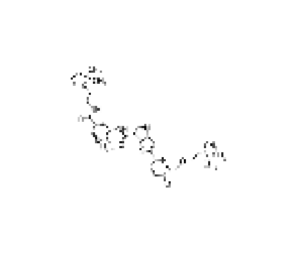 Cc1ncc(C(=O)NCCN2CCCC2(C)C)cc1NC(=O)c1cnn2cc(-c3ccc(=O)n(COCC[Si](C)(C)C)n3)sc12